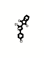 CCc1sc(-c2ccc(Cl)cc2)cc1C1C(=O)C2C3C=CC(O3)C2C1=O